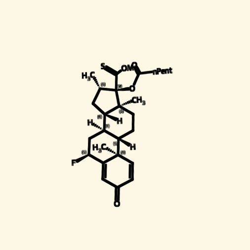 CCCCCC(=O)O[C@]1(C(=S)OC)[C@@H](C)C[C@H]2[C@@H]3C[C@H](F)C4=CC(=O)C=C[C@]4(C)[C@H]3CC[C@@]21C